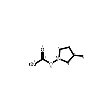 CC1CCN(OC(=O)C(C)(C)C)C1